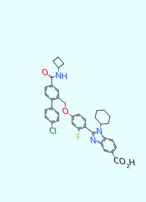 O=C(O)c1ccc2c(c1)nc(-c1ccc(OCc3cc(C(=O)NC4CCC4)ccc3-c3ccc(Cl)cc3)cc1F)n2C1CCCCC1